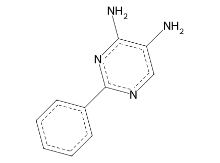 Nc1cnc(-c2ccccc2)nc1N